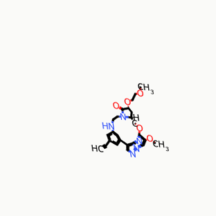 C#Cc1cc2cc(c1)-c1cnn3cc(OC)c(nc13)OC[C@@H]1C[C@@H](OCCOC)C(=O)N1CCN2